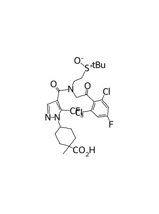 CC1(C(=O)O)CCC(n2ncc(C(=O)N(CC[S+]([O-])C(C)(C)C)CC(=O)c3c(Cl)cc(F)cc3Cl)c2C(F)(F)F)CC1